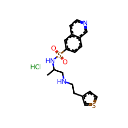 CC(CNCCc1ccsc1)NS(=O)(=O)c1ccc2cnccc2c1.Cl